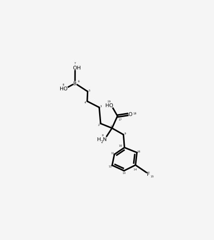 NC(CCCCB(O)O)(Cc1cccc(F)c1)C(=O)O